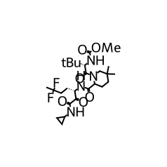 COC(=O)N[C@H](C(=O)N1CC(C)(C)CCC1C(=O)N[C@@H](CCC(C)(F)F)C(=O)C(=O)NC1CC1)C(C)(C)C